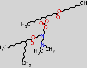 CCCCCCCCOC(=O)CCCC(CCCCCC)OC(=O)OCCN(CCOC(=O)CC(CCCCCCC)CCCCCCC)CCN(CC)CC